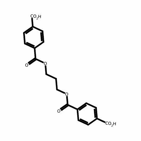 O=C(O)c1ccc(C(=O)OCCCOC(=O)c2ccc(C(=O)O)cc2)cc1